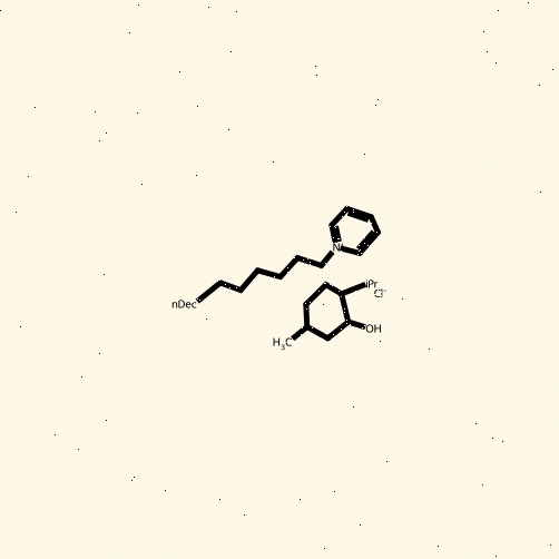 CC1CCC(C(C)C)C(O)C1.CCCCCCCCCCCCCCCC[n+]1ccccc1.[Cl-]